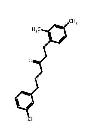 Cc1ccc(CCC(=O)CCCc2cccc(Cl)c2)c(C)c1